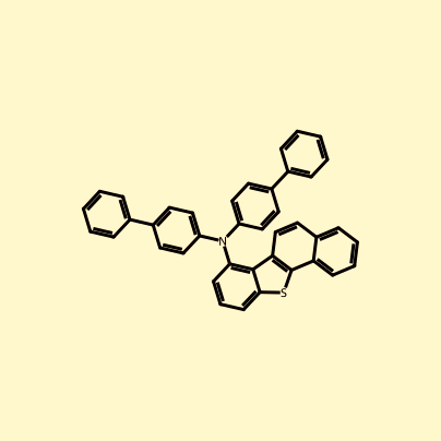 c1ccc(-c2ccc(N(c3ccc(-c4ccccc4)cc3)c3cccc4sc5c6ccccc6ccc5c34)cc2)cc1